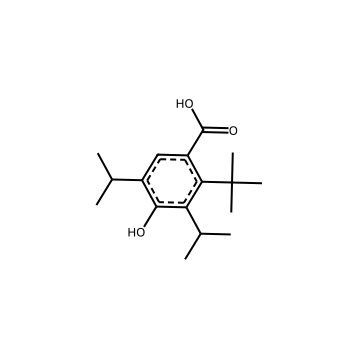 CC(C)c1cc(C(=O)O)c(C(C)(C)C)c(C(C)C)c1O